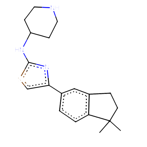 CC1(C)CCc2cc(-c3csc(NC4CCNCC4)n3)ccc21